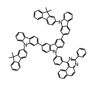 CC1(C)c2ccccc2-c2ccc(-n3c4ccccc4c4ccc(-c5ccc6c(c5)c5cc(-c7ccc8c9ccccc9n(-c9ccc%10c(c9)C(C)(C)c9ccccc9-%10)c8c7)ccc5n6-c5cccc(-c6nc(-c7ccccc7)nc7ccc8ccccc8c67)c5)cc43)cc21